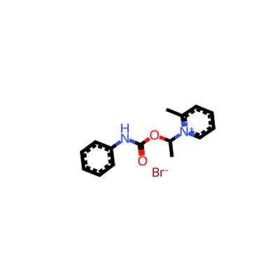 Cc1cccc[n+]1C(C)OC(=O)Nc1ccccc1.[Br-]